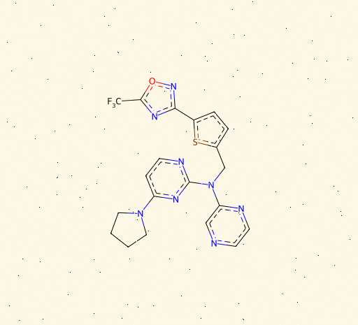 FC(F)(F)c1nc(-c2ccc(CN(c3cnccn3)c3nccc(N4CCCC4)n3)s2)no1